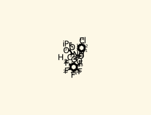 CC(C)OC(=O)[C@H](C)NP(=O)(Oc1ccc(Cl)cc1)Oc1c(F)c(F)c(F)c(F)c1F